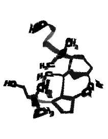 CC(C1=C(Cl)CC=C1[Si](C)(C)CCO)C1=C(Cl)CC=C1[Si](C)(C)CCO.[Zr]